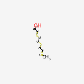 CSCCSCCSCCO